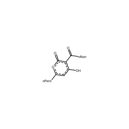 CCCCCCCCCC(=O)c1c(O)cc(CCCCC)oc1=O